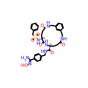 N/C(=N\O)c1ccc(CNC(=O)[C@@H]2CCC(=O)NCc3cccc(c3)CNC(=O)CC[C@@H](NS(=O)(=O)Cc3ccccc3)C(=O)N2)cc1